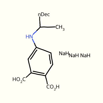 CCCCCCCCCCC(C)Nc1ccc(C(=O)O)c(C(=O)O)c1.[NaH].[NaH].[NaH]